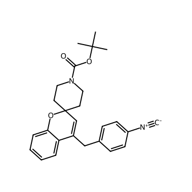 [C-]#[N+]c1ccc(CC2=CC3(CCN(C(=O)OC(C)(C)C)CC3)Oc3ccccc32)cc1